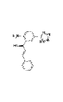 N=C(/C=C/c1ccccc1)c1cc(-c2nnn[nH]2)ccc1N